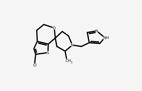 CC1CC2(CCN1Cc1cn[nH]c1)OCCc1cc(Cl)sc12